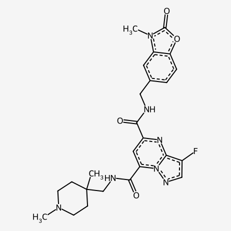 CN1CCC(C)(CNC(=O)c2cc(C(=O)NCc3ccc4oc(=O)n(C)c4c3)nc3c(F)cnn23)CC1